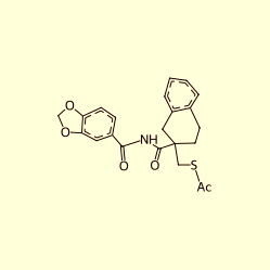 CC(=O)SCC1(C(=O)NC(=O)c2ccc3c(c2)OCO3)CCc2ccccc2C1